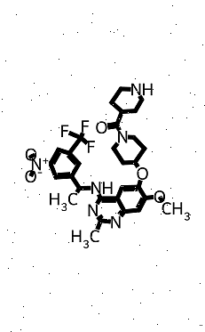 COc1cc2nc(C)nc(NC(C)c3cc([N+](=O)[O-])cc(C(F)(F)F)c3)c2cc1OC1CCN(C(=O)C2CCNCC2)CC1